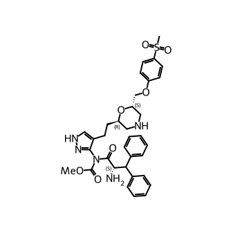 COC(=O)N(C(=O)[C@@H](N)C(c1ccccc1)c1ccccc1)c1n[nH]cc1CC[C@@H]1CNC[C@@H](COc2ccc(S(C)(=O)=O)cc2)O1